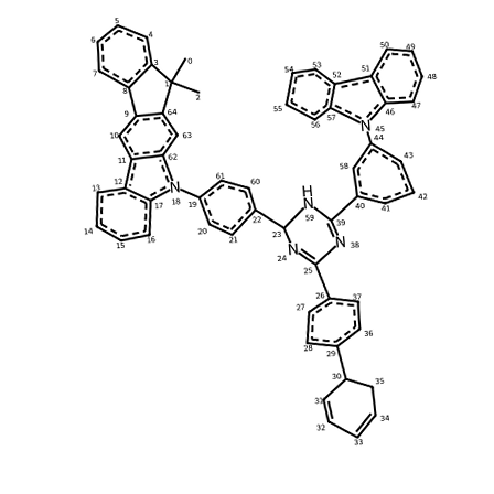 CC1(C)c2ccccc2-c2cc3c4ccccc4n(-c4ccc(C5N=C(c6ccc(C7C=CC=CC7)cc6)N=C(c6cccc(-n7c8ccccc8c8ccccc87)c6)N5)cc4)c3cc21